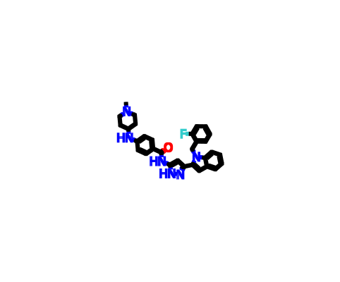 CN1CCC(Nc2ccc(C(=O)Nc3cc(-c4cc5ccccc5n4Cc4ccccc4F)n[nH]3)cc2)CC1